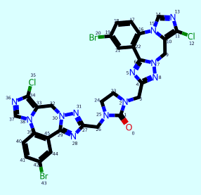 O=C1N(Cc2nc3n(n2)Cc2c(Cl)ncn2-c2ccc(Br)cc2-3)CCN1Cc1nc2n(n1)Cc1c(Cl)ncn1-c1ccc(Br)cc1-2